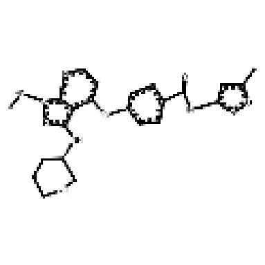 CPn1nc(N[C@@H]2CCCNC2)c2c(Oc3ccc(C(=O)Nc4cc(C)on4)cc3)ccnc21